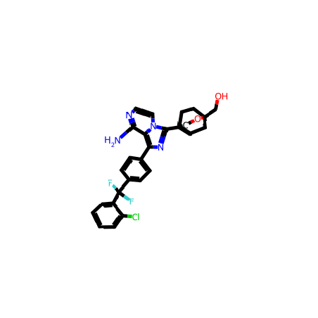 Nc1nccn2c(C34CCC(CO)(CC3)OC4)nc(-c3ccc(C(F)(F)c4ccccc4Cl)cc3)c12